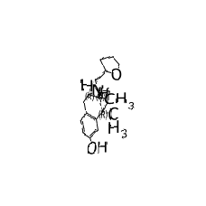 C[C@H]1[C@H]2Cc3ccc(O)cc3[C@]1(C)CCN2CC1CCCO1